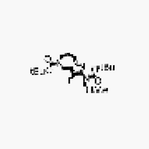 COCN(C(=O)OC(C)(C)C)c1nn2c(c1F)CN(C(=O)OC(C)(C)C)CCC2